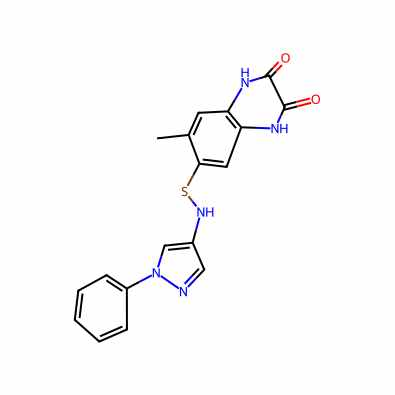 Cc1cc2[nH]c(=O)c(=O)[nH]c2cc1SNc1cnn(-c2ccccc2)c1